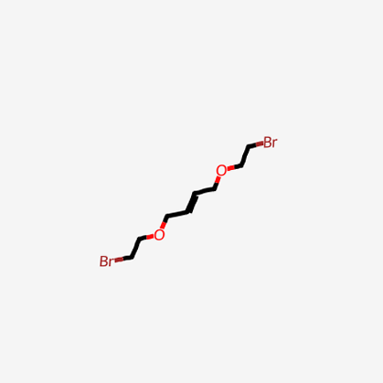 BrCCOCC=CCOCCBr